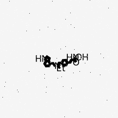 CCN(CCc1cccc2[nH]ccc12)Cc1ccc(/C=C/C(=O)NO)cc1